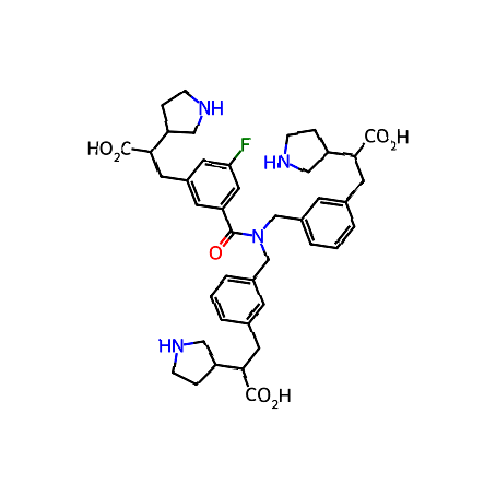 O=C(O)C(Cc1cccc(CN(Cc2cccc(CC(C(=O)O)C3CCNC3)c2)C(=O)c2cc(F)cc(CC(C(=O)O)C3CCNC3)c2)c1)C1CCNC1